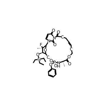 CC[Si](CC)(CC)O[C@@H]1C2COP(=O)(Oc3ccccc3)N[C@@H](C)C(=O)OCCC=CCCC(=O)n3c(=O)ccn(c3=O)C(O2)[C@]1(C)F